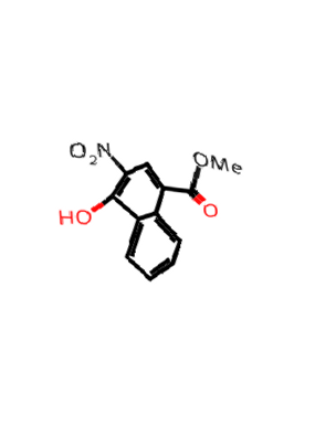 COC(=O)c1cc([N+](=O)[O-])c(O)c2ccccc12